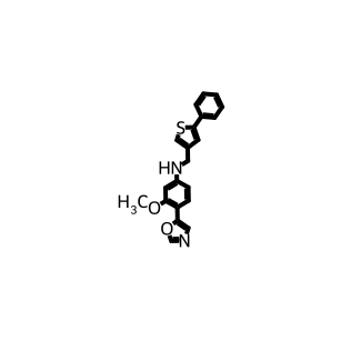 COc1cc(NCc2csc(-c3ccccc3)c2)ccc1-c1cnco1